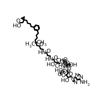 CC(C)(CCCCc1cccc(CCCCC2(CC(=O)O)CC2)c1)CC(=O)CCNC(=O)CCNC(=O)C(O)C(C)(C)COP(=O)(O)OP(=O)(O)OCC1OC(n2cnc3c(N)ncnc32)C(O)C1OP(=O)(O)O